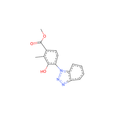 COC(=O)c1ccc(-n2nnc3ccccc32)c(O)c1C